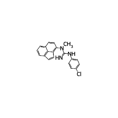 CN(C(=N)Nc1ccc(Cl)cc1)c1ccc2cccc3c2c1C=C3